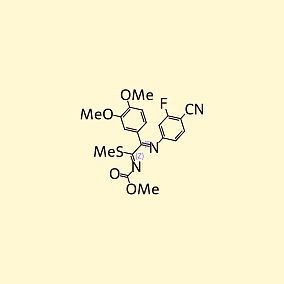 COC(=O)/N=C(SC)/C(=N/c1ccc(C#N)c(F)c1)c1ccc(OC)c(OC)c1